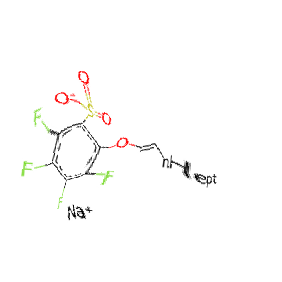 CCCCCCCC=COc1c(F)c(F)c(F)c(F)c1S(=O)(=O)[O-].[Na+]